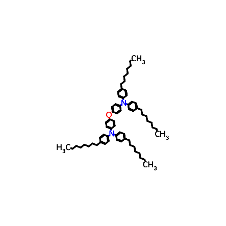 CCCCCCCCc1ccc(N(c2ccc(CCCCCCCC)cc2)c2ccc(Oc3ccc(N(c4ccc(CCCCCCCC)cc4)c4ccc(CCCCCCCC)cc4)cc3)cc2)cc1